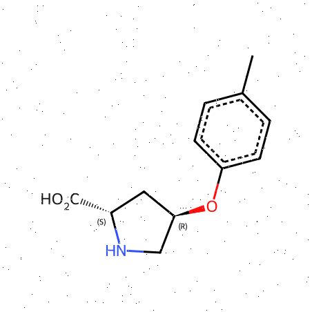 Cc1ccc(O[C@H]2CN[C@H](C(=O)O)C2)cc1